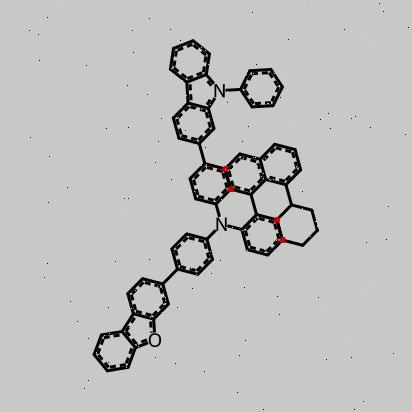 c1ccc(-n2c3ccccc3c3ccc(-c4ccc(N(c5ccc(-c6ccc7c(c6)oc6ccccc67)cc5)c5ccccc5-c5cccc6cccc(C7CCCCC7)c56)cc4)cc32)cc1